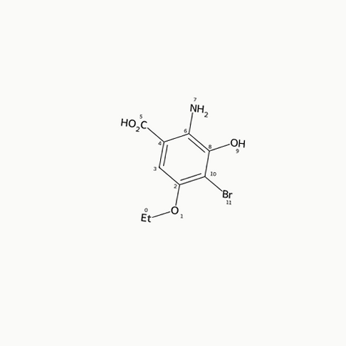 CCOc1cc(C(=O)O)c(N)c(O)c1Br